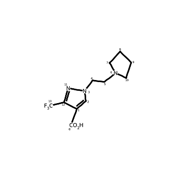 O=C(O)c1cn(CCN2CCCC2)nc1C(F)(F)F